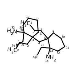 CCCC1(CC2(CCC)CCCCC2(N)CI)CCCCC1(N)CI